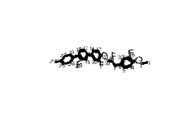 CCOc1ccc(CC(F)COc2ccc(-c3ccc(C4CCC(C)CC4)c(F)c3)cc2F)cc1F